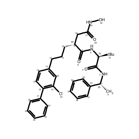 C[C@@H](NC(=O)[C@@H](NC(=O)[C@H](CCCc1ccc(-c2ccccc2)c(Cl)c1)CC(=O)NO)C(C)(C)C)c1ccccc1